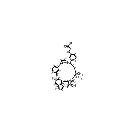 CC1(C)CCCC(c2cccc(CCC(=O)O)c2)n2ccc(n2)-c2cccc(c2)Oc2c(F)cc3[nH]ccc3c2CC(C(=O)O)S(=O)(=O)C1